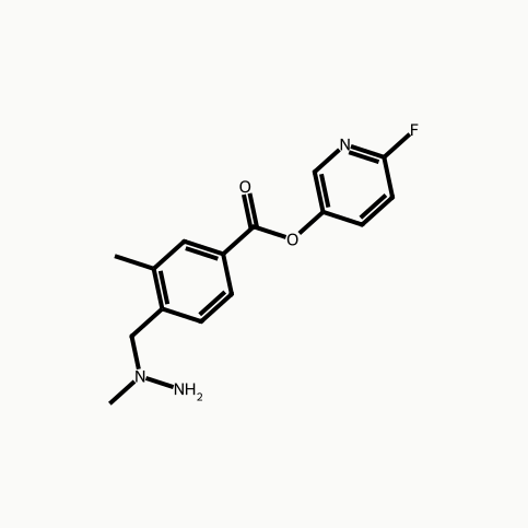 Cc1cc(C(=O)Oc2ccc(F)nc2)ccc1CN(C)N